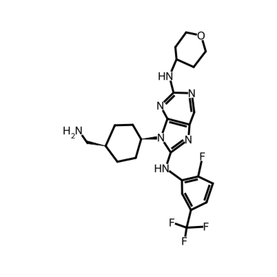 NC[C@H]1CC[C@@H](n2c(Nc3cc(C(F)(F)F)ccc3F)nc3cnc(NC4CCOCC4)nc32)CC1